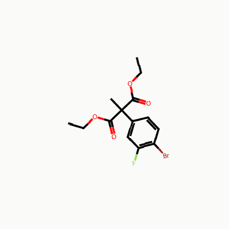 CCOC(=O)C(C)(C(=O)OCC)c1ccc(Br)c(F)c1